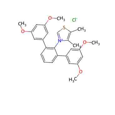 COc1cc(OC)cc(-c2cccc(-c3cc(OC)cc(OC)c3)c2-[n+]2csc(C)c2C)c1.[Cl-]